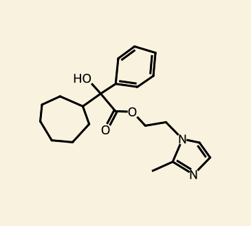 Cc1nccn1CCOC(=O)C(O)(c1ccccc1)C1CCCCCC1